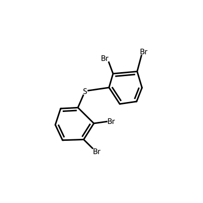 Brc1cccc(Sc2cccc(Br)c2Br)c1Br